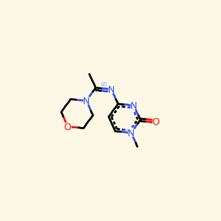 C/C(=N/c1ccn(C)c(=O)n1)N1CCOCC1